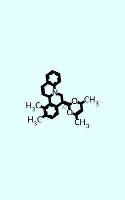 CC1=CC(C)O/C(=C2\CN3c4ccccc4C=CC3c3c2ccc(C)c3C)O1